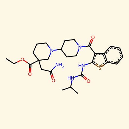 CCOC(=O)C1(CC(N)=O)CCCN(C2CCN(C(=O)c3c(NC(=O)NC(C)C)sc4ccccc34)CC2)C1